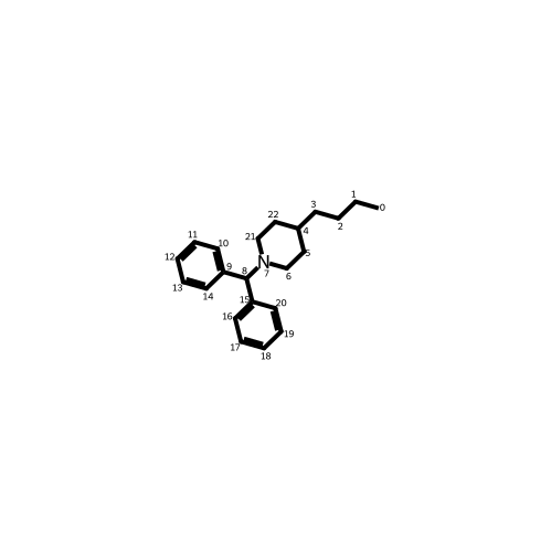 CCCCC1CCN(C(c2ccccc2)c2ccccc2)CC1